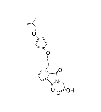 C=C(C)COc1ccc(OCCc2cccc3c2C(=O)N(CC(=O)O)C3=O)cc1